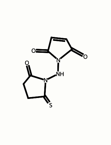 O=C1C=CC(=O)N1NN1C(=O)CCC1=S